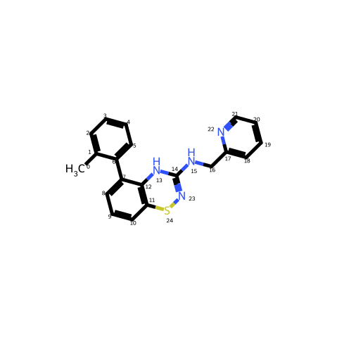 Cc1ccccc1-c1cccc2c1NC(NCc1ccccn1)=NS2